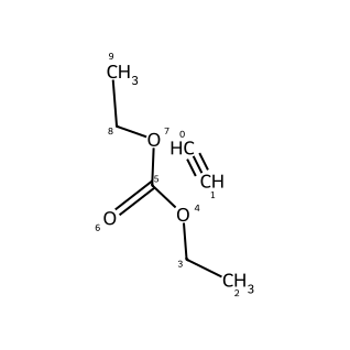 C#C.CCOC(=O)OCC